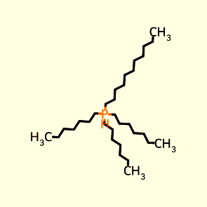 CCCCCCCCCCC[PH](CCCCCCC)(CCCCCCC)CCCCCCC